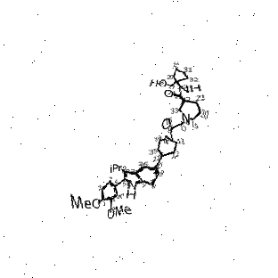 COc1ccc(-c2[nH]c3ccc(C4CCN(C(=O)CN5CCCC(C(=O)NC6(CO)CCCC6)C5)CC4)cc3c2C(C)C)cc1OC